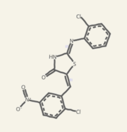 O=C1N/C(=N/c2ccccc2Cl)S/C1=C/c1cc([N+](=O)[O-])ccc1Cl